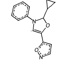 [C]1=C(c2ccno2)OC(C2CC2)N1c1ccccc1